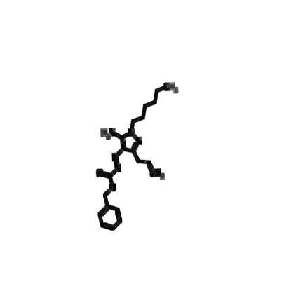 C=CCc1nn(CCCCCC)c(N)c1/N=N/C(=O)OCc1ccccc1